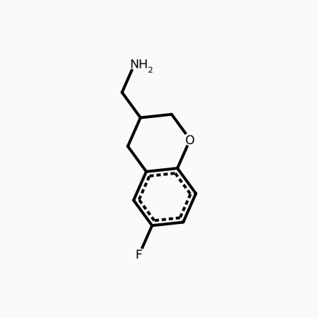 NCC1COc2ccc(F)cc2C1